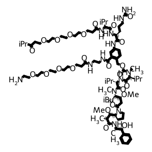 CC[C@H](C)[C@@H]([C@@H](CC(=O)N1CCC[C@H]1[C@H](OC)[C@@H](C)C(=O)N[C@H](C)[C@@H](O)c1ccccc1)OC)N(C)C(=O)[C@@H](NC(=O)[C@H](C(C)C)N(C)C(=O)OCc1ccc(NC(=O)[C@H](CCCNC(N)=O)NC(=O)[C@@H](NC(=O)CCOCCOCCOCCOCCC(=O)C(C)C)C(C)C)cc1C(=O)NCCNC(=O)CCOCCOCCOCCOCCN)C(C)C